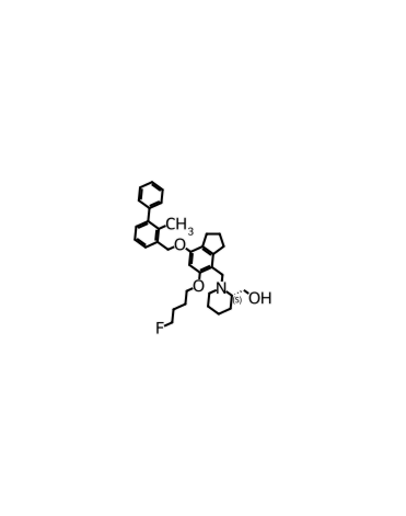 Cc1c(COc2cc(OCCCCF)c(CN3CCCC[C@H]3CO)c3c2CCC3)cccc1-c1ccccc1